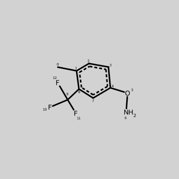 Cc1ccc(ON)cc1C(F)(F)F